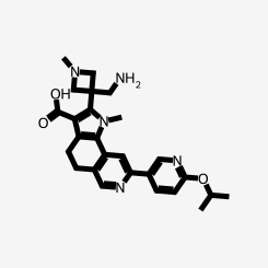 CC(C)Oc1ccc(-c2cc3c(cn2)CCc2c(C(=O)O)c(C4(CN)CN(C)C4)n(C)c2-3)cn1